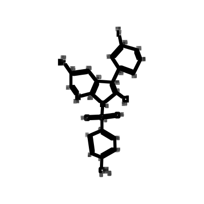 Cc1ccc(S(=O)(=O)n2c(Cl)c(-c3cccc(F)c3)c3cc(Br)cnc32)cc1